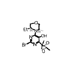 CC[C@H]1COC[C@H](C)N1c1nc(Br)nc(C(C)(C)S(C)(=O)=O)c1O